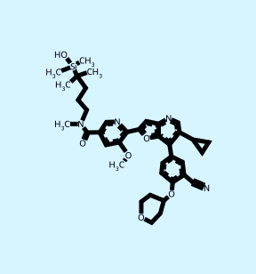 COc1cc(C(=O)N(C)CCCC(C)(C)[Si](C)(C)O)cnc1-c1cc2ncc(C3CC3)c(-c3ccc(OC4CCOCC4)c(C#N)c3)c2o1